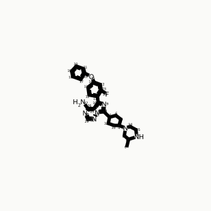 CC1CN(C2CCC(c3nc(-c4ccc(Oc5ccccc5)cc4F)c4c(N)ncnn34)CC2)CCN1